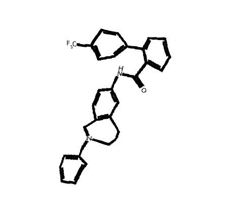 O=C(Nc1ccc2c(c1)CCN(c1ccccc1)C2)c1ccccc1-c1ccc(C(F)(F)F)cc1